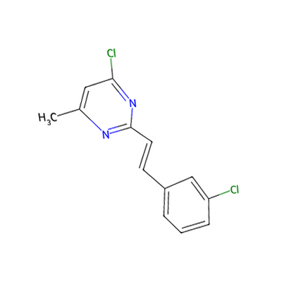 Cc1cc(Cl)nc(C=Cc2cccc(Cl)c2)n1